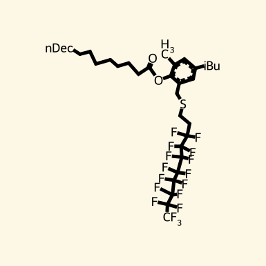 CCCCCCCCCCCCCCCCCC(=O)Oc1c(C)cc(C(C)CC)cc1CSCCC(F)(F)C(F)(F)C(F)(F)C(F)(F)C(F)(F)C(F)(F)C(F)(F)C(F)(F)F